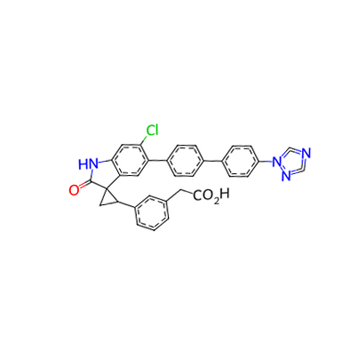 O=C(O)Cc1cccc(C2CC23C(=O)Nc2cc(Cl)c(-c4ccc(-c5ccc(-n6cncn6)cc5)cc4)cc23)c1